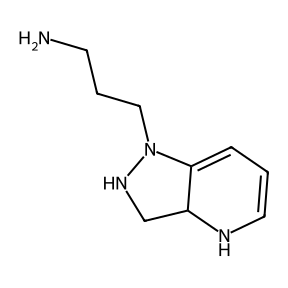 NCCCN1NCC2NC=CC=C21